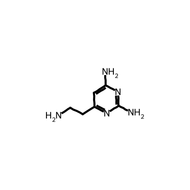 NCCc1cc(N)nc(N)n1